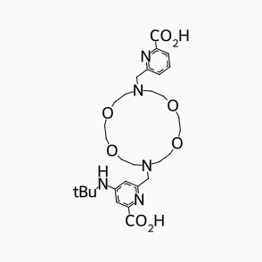 CC(C)(C)Nc1cc(CN2CCOCCOCCN(Cc3cccc(C(=O)O)n3)CCOCCOCC2)nc(C(=O)O)c1